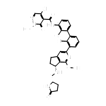 COc1nc(-c2cccc(-c3cccc(NC(=O)c4c(Cl)cnn(C)c4=O)c3Cl)c2Cl)cc2c1[C@@H](NC[C@@H]1CCC(=O)N1)CC2